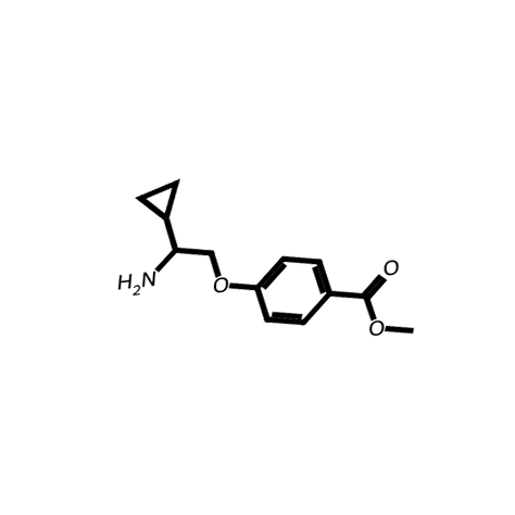 COC(=O)c1ccc(OCC(N)C2CC2)cc1